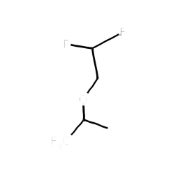 CC(OCC(F)F)C(F)(F)F